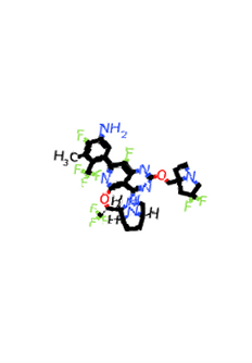 Cc1c(F)c(N)cc(-c2nc3c4c(nc(OCC56CCN5CC(F)(F)C6)nc4c2F)N2C[C@H]4CC[C@H](N4)[C@H]2[C@H](C(F)(F)F)O3)c1C(F)(F)F